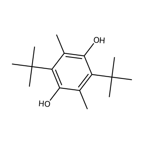 Cc1c(O)c(C(C)(C)C)c(C)c(O)c1C(C)(C)C